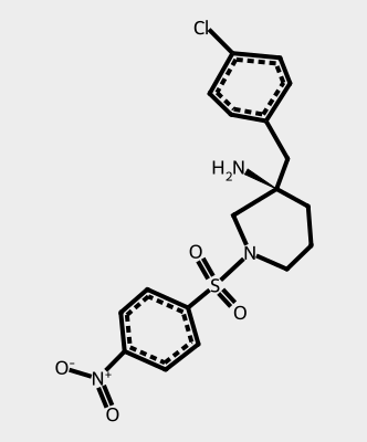 N[C@@]1(Cc2ccc(Cl)cc2)CCCN(S(=O)(=O)c2ccc([N+](=O)[O-])cc2)C1